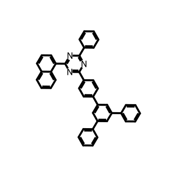 c1ccc(-c2cc(-c3ccccc3)cc(-c3ccc(-c4nc(-c5ccccc5)nc(-c5cccc6ccccc56)n4)cc3)c2)cc1